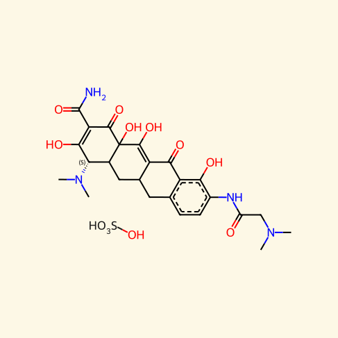 CN(C)CC(=O)Nc1ccc2c(c1O)C(=O)C1=C(O)C3(O)C(=O)C(C(N)=O)=C(O)[C@@H](N(C)C)C3CC1C2.O=S(=O)(O)O